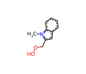 Cn1c(COO)cc2ccccc21